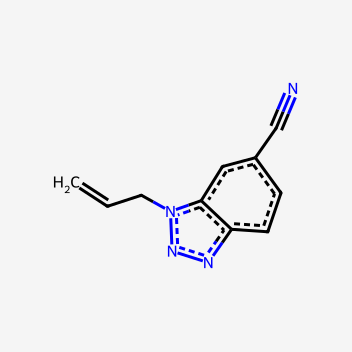 C=CCn1nnc2ccc(C#N)cc21